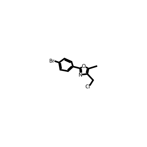 Cc1oc(-c2ccc(Br)cc2)nc1CCl